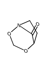 O=C1C2CCN1OCO2